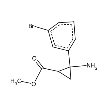 COC(=O)C1CC1(N)c1cccc(Br)c1